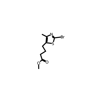 COC(=O)CCCc1sc(Br)nc1C